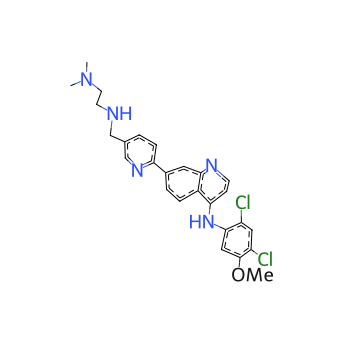 COc1cc(Nc2ccnc3cc(-c4ccc(CNCCN(C)C)cn4)ccc23)c(Cl)cc1Cl